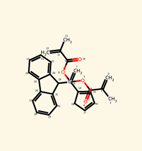 C=C(C)C(=O)[O][Ti](=[CH2])([O]C(=O)C(=C)C)([C]1=CC=CC1)[CH]1c2ccccc2-c2ccccc21